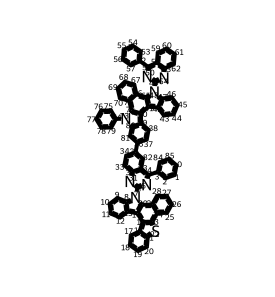 c1ccc(-c2nc(-n3c4ccccc4c4c5c6ccccc6sc5c5ccccc5c43)nc3ccc(-c4ccc5c6c7c8ccccc8n(-c8nc(-c9ccccc9)c9ccccc9n8)c7c7ccccc7c6n(-c6ccccc6)c5c4)cc23)cc1